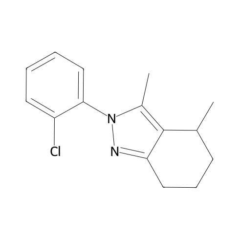 Cc1c2c(nn1-c1ccccc1Cl)CCCC2C